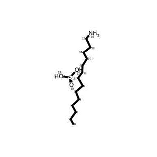 CCCCCCCCCCCCCCN.O=S(O)O